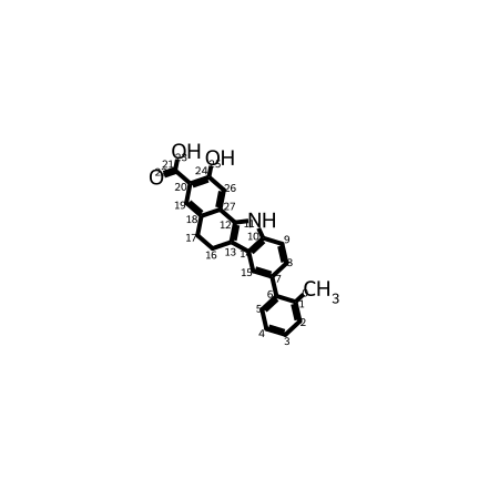 Cc1ccccc1-c1ccc2[nH]c3c(c2c1)CCc1cc(C(=O)O)c(O)cc1-3